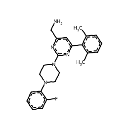 Cc1cccc(C)c1-c1cc(CN)nc(N2CCN(c3ccccc3F)CC2)n1